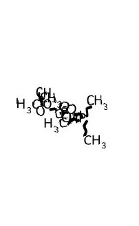 CCCCC[PH](CCCC)(CCCC)CCOP(=O)(O)OCCOC(=O)C(C)(C)CC